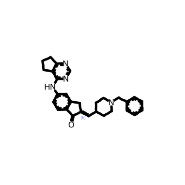 O=C1/C(=C/C2CCN(Cc3ccccc3)CC2)Cc2cc(Nc3ncnc4c3CCC4)ccc21